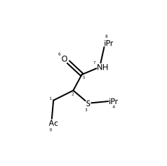 CC(=O)CC(SC(C)C)C(=O)NC(C)C